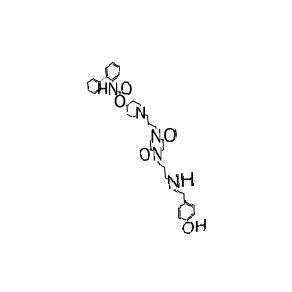 O=C(Nc1ccccc1-c1ccccc1)OC1CCN(CCCN2CC(=O)N(CCCNCCc3ccc(O)cc3)CC2=O)CC1